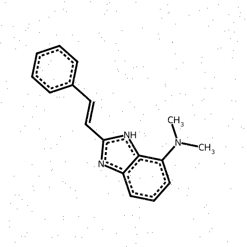 CN(C)c1cccc2nc(C=Cc3ccccc3)[nH]c12